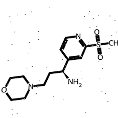 CS(=O)(=O)c1cc([C@@H](N)CCN2CCOCC2)ccn1